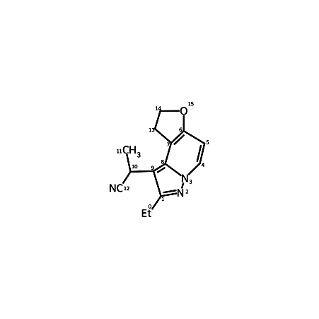 CCc1nn2ccc3c(c2c1C(C)C#N)CCO3